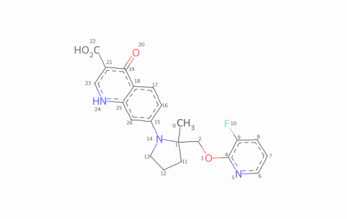 CC1(COc2ncccc2F)CCCN1c1ccc2c(=O)c(C(=O)O)c[nH]c2c1